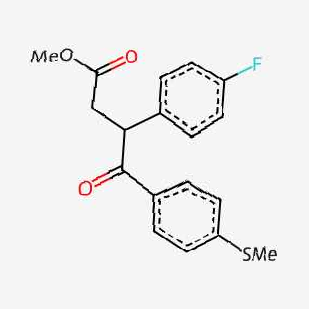 COC(=O)CC(C(=O)c1ccc(SC)cc1)c1ccc(F)cc1